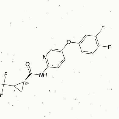 O=C(Nc1ccc(Oc2ccc(F)c(F)c2)cn1)[C@H]1CC1C(F)(F)F